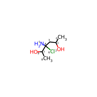 CC(O)CC(N)(Cl)C(C)O